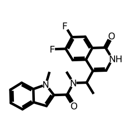 CC(c1c[nH]c(=O)c2cc(F)c(F)cc12)N(C)C(=O)c1cc2ccccc2n1C